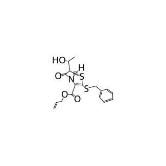 C=CCOC(=O)C1=C(SCc2ccccc2)S[C@@H]2C(C(C)O)C(=O)N12